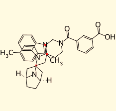 Cc1ccc(C2(CCN3[C@@H]4CC[C@H]3CC(n3c(C)nc5ccccc53)C4)CCN(C(=O)c3cccc(C(=O)O)c3)CC2)cc1